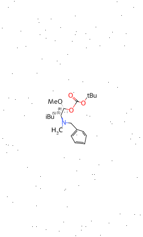 CC[C@H](C)[C@@H]([C@H](OC)OC(=O)OC(C)(C)C)N(C)Cc1ccccc1